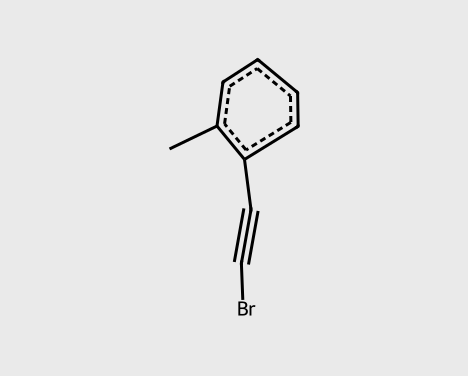 Cc1ccccc1C#CBr